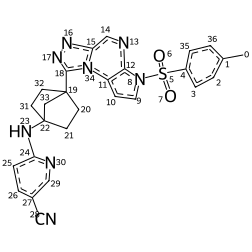 Cc1ccc(S(=O)(=O)n2ccc3c2ncc2nnc(C45CCC(Nc6ccc(C#N)cn6)(CC4)C5)n23)cc1